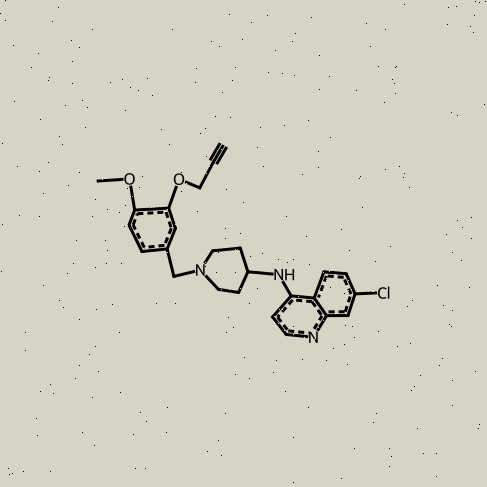 C#CCOc1cc(CN2CCC(Nc3ccnc4cc(Cl)ccc34)CC2)ccc1OC